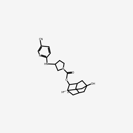 N#Cc1ccc(NC2CCN(C(=O)OC3C4CC5C[C@@H]3CC(O)(C5)C4)C2)nc1